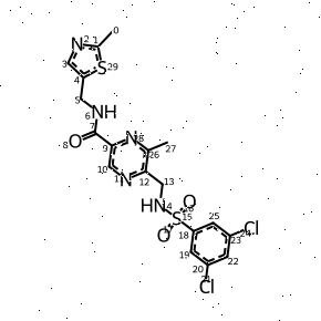 Cc1ncc(CNC(=O)c2cnc(CNS(=O)(=O)c3cc(Cl)cc(Cl)c3)c(C)n2)s1